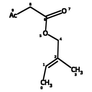 CC=C(C)COC(=O)CC(C)=O